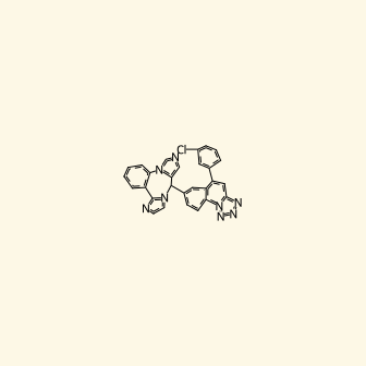 Clc1cccc(-c2cc3nnnn3c3ccc(C4c5cncn5-c5ccccc5-c5nccn54)cc23)c1